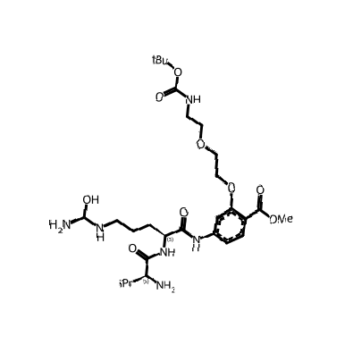 COC(=O)c1ccc(NC(=O)[C@H](CCCNC(N)O)NC(=O)[C@@H](N)C(C)C)cc1OCCOCCNC(=O)OC(C)(C)C